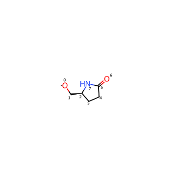 [O]C[C@@H]1CCC(=O)N1